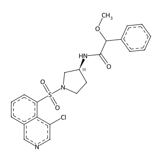 COC(C(=O)N[C@H]1CCN(S(=O)(=O)c2cccc3cncc(Cl)c23)C1)c1ccccc1